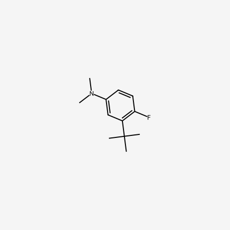 CN(C)c1ccc(F)c(C(C)(C)C)c1